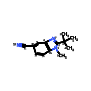 Cn1c(C(C)(C)C)nc2cc(C#N)ccc21